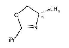 CC(C)C1=N[C@@H](C)CO1